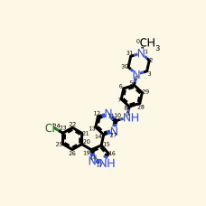 CN1CCN(c2ccc(Nc3nccc(-c4c[nH]nc4-c4ccc(Cl)cc4)n3)cc2)CC1